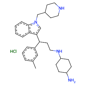 Cc1cccc(C(CCNC2CCC(N)CC2)c2cn(CC3CCNCC3)c3ccccc23)c1.Cl